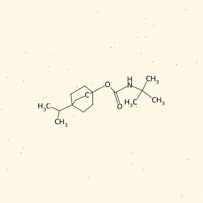 CC(C)C12CCC(OC(=O)NC(C)(C)C)(CC1)CC2